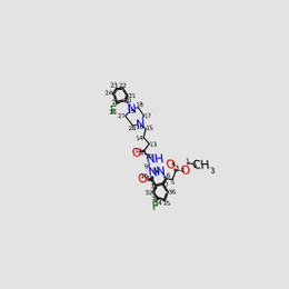 CCOC(=O)Cc1nn(CNC(=O)CCCN2CCN(c3ccccc3F)CC2)c(=O)c2cc(F)ccc12